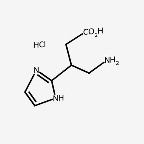 Cl.NCC(CC(=O)O)c1ncc[nH]1